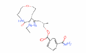 CCn1nc(C[C@@H](C)COC(=O)c2cccc(C(N)=O)c2)c2c1C(=O)NCCCOCCC2